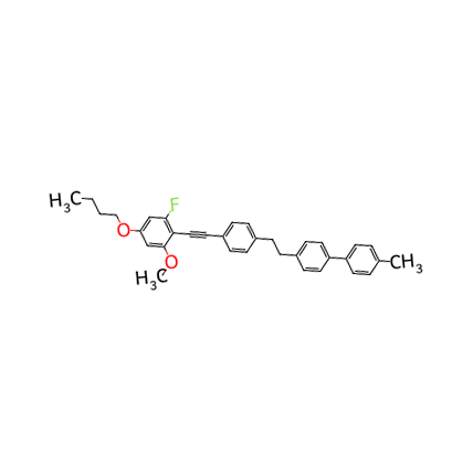 CCCCOc1cc(F)c(C#Cc2ccc(CCc3ccc(-c4ccc(C)cc4)cc3)cc2)c(OC)c1